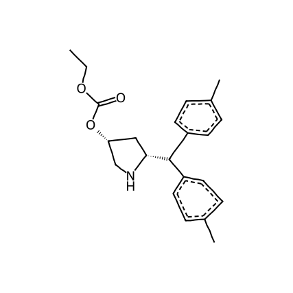 CCOC(=O)O[C@H]1CN[C@@H](C(c2ccc(C)cc2)c2ccc(C)cc2)C1